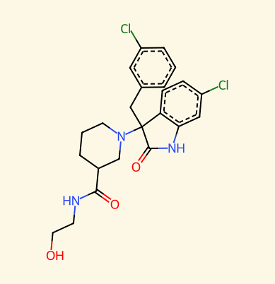 O=C(NCCO)C1CCCN(C2(Cc3cccc(Cl)c3)C(=O)Nc3cc(Cl)ccc32)C1